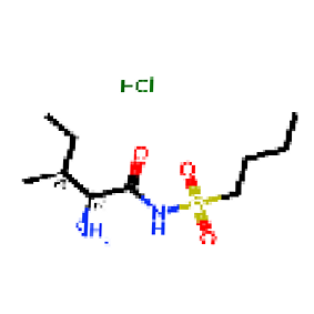 CCCCS(=O)(=O)NC(=O)[C@@H](N)[C@@H](C)CC.Cl